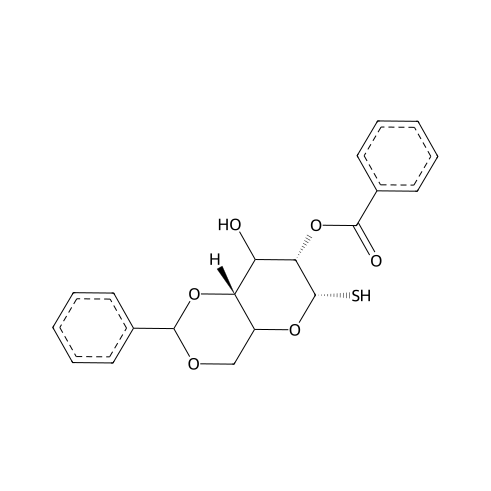 O=C(O[C@H]1C(O)[C@H]2OC(c3ccccc3)OCC2O[C@H]1S)c1ccccc1